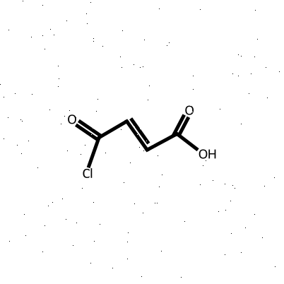 O=C(O)/C=C/C(=O)Cl